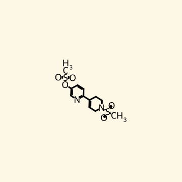 CS(=O)(=O)Oc1ccc(C2=CCN(S(C)(=O)=O)CC2)nc1